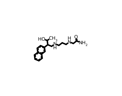 CC(O)C(CNCCCNCC(N)=O)c1ccc2ccccc2c1